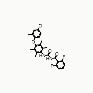 Cc1cc(Cl)ccc1Oc1c(C)c(C)c(NC(=O)NC(=O)c2c(F)cccc2F)c(C)c1C